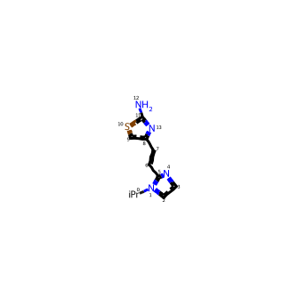 CC(C)n1ccnc1C=Cc1csc(N)n1